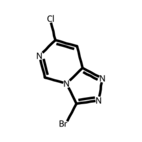 Clc1cc2nnc(Br)n2cn1